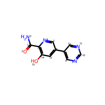 NC(=O)c1ncc(-c2cncnc2)cc1O